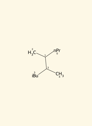 CCCC(C)C(C)C(C)CC